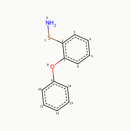 NSc1ccccc1Oc1ccccc1